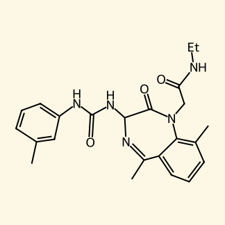 CCNC(=O)CN1C(=O)C(NC(=O)Nc2cccc(C)c2)N=C(C)c2cccc(C)c21